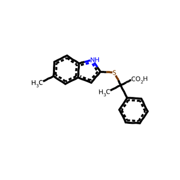 Cc1ccc2[nH]c(SC(C)(C(=O)O)c3ccccc3)cc2c1